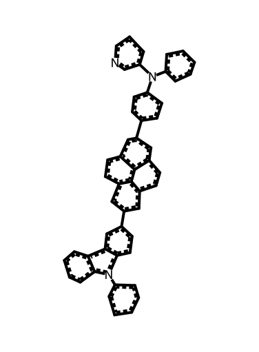 c1ccc(N(c2ccc(-c3cc4ccc5cc(-c6ccc7c(c6)c6ccccc6n7-c6ccccc6)cc6ccc(c3)c4c56)cc2)c2cccnc2)cc1